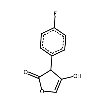 O=C1OC=C(O)C1c1ccc(F)cc1